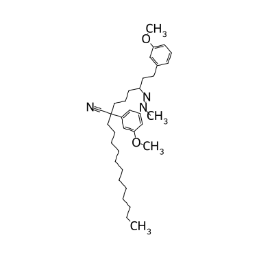 CCCCCCCCCCCCC(C#N)(CCCC(CCc1cccc(OC)c1)N=NC)c1cccc(OC)c1